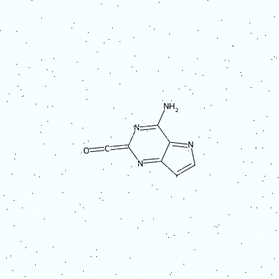 Nc1nc(=C=O)nc2c1=NC=C2